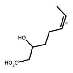 C/C=C\CCC(O)CC(=O)O